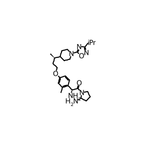 Cc1cc(OCC[C@@H](C)C2CCN(c3nc(C(C)C)no3)CC2)ccc1[C@H](N)C(=O)N1CCC[C@H]1N